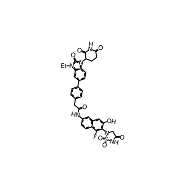 CCn1c(=O)n(C2CCC(=O)NC2=O)c2ccc(-c3ccc(CC(=O)Nc4ccc5c(F)c(N6CC(=O)NS6(=O)=O)c(O)cc5c4)cc3)cc21